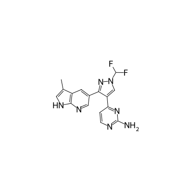 Cc1c[nH]c2ncc(-c3nn(C(F)F)cc3-c3ccnc(N)n3)cc12